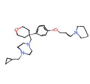 c1cc(C2(CN3CCN(CC4CC4)CC3)CCOCC2)ccc1OCCCN1CCCC1